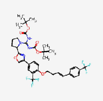 CC(C)(C)OC(=O)N=C(NC(=O)OC(C)(C)C)N1CCCC1c1nc(-c2ccc(OCC/C=C/c3ccc(C(F)(F)F)cc3)c(C(F)(F)F)c2)co1